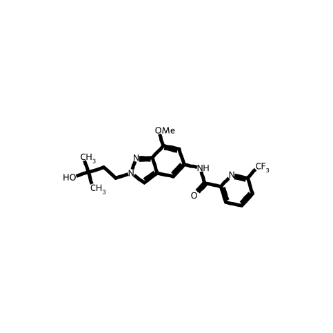 COc1cc(NC(=O)c2cccc(C(F)(F)F)n2)cc2cn(CCC(C)(C)O)nc12